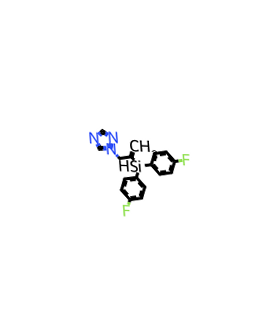 C=C(Cn1cncn1)[SiH](c1ccc(F)cc1)c1ccc(F)cc1